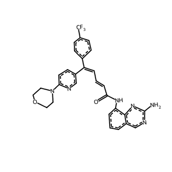 Nc1ncc2cccc(NC(=O)C=CC=C(c3ccc(C(F)(F)F)cc3)c3ccc(N4CCOCC4)nc3)c2n1